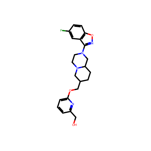 OCc1cccc(OCC2CCC3CN(c4noc5ccc(F)cc45)CCN3C2)n1